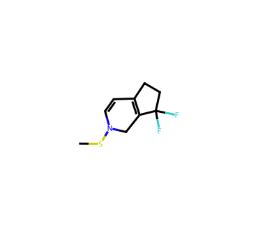 CSN1C=CC2=C(C1)C(F)(F)CC2